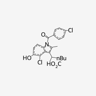 CCCCC(C(=O)O)c1c(C)n(C(=O)c2ccc(Cl)cc2)c2ccc(O)c(Cl)c12